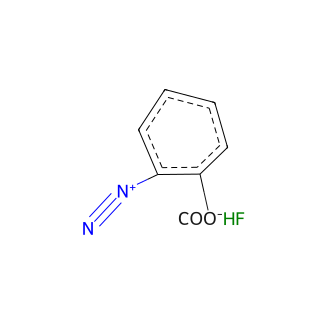 F.N#[N+]c1ccccc1C(=O)[O-]